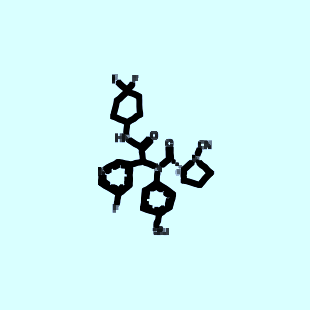 CC(C)(C)c1ccc(N(C(=O)[C@H]2CCCN2C#N)C(C(=O)NC2CCC(F)(F)CC2)c2cncc(F)c2)cc1